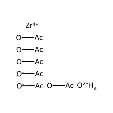 CC(=O)[O-].CC(=O)[O-].CC(=O)[O-].CC(=O)[O-].CC(=O)[O-].CC(=O)[O-].[OH4+2].[Zr+4]